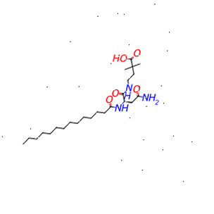 CCCCCCCCCCCCCC(=O)N[C@H](CC(N)=O)C(=O)NCCC(C)(C)C(=O)O